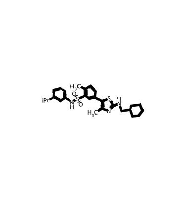 Cc1ccc(-c2sc(NCC3CCCCC3)nc2C)cc1S(=O)(=O)Nc1cccc(C(C)C)c1